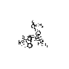 CC(F)(F)C(F)(F)C(F)(F)C1(C(=O)O)CC2C=CC1C2.CC(c1c(F)cccc1F)C1(C(=O)O)CC2C=CC1C2.CN1C(=O)C=CC1=O